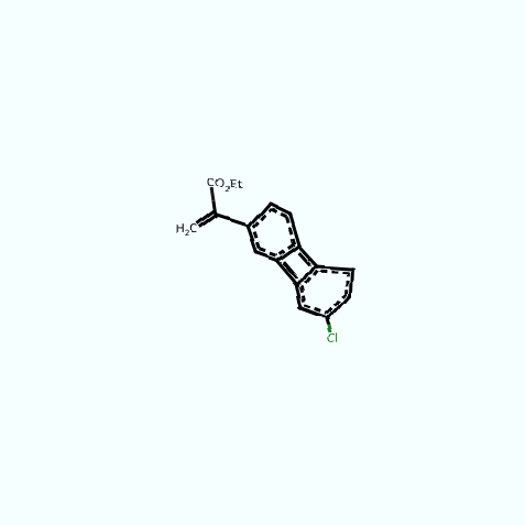 C=C(C(=O)OCC)c1ccc2c(c1)=c1cc(Cl)ccc1=2